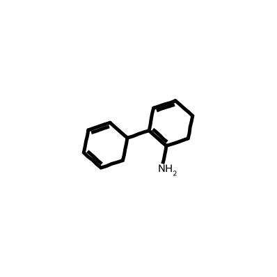 NC1=C(C2C=CC=CC2)C=CCC1